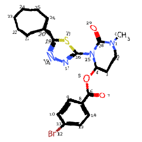 CN1CCC(OC(=O)c2ccc(Br)cc2)N(c2nnc(C3CCCCCC3)s2)C1=O